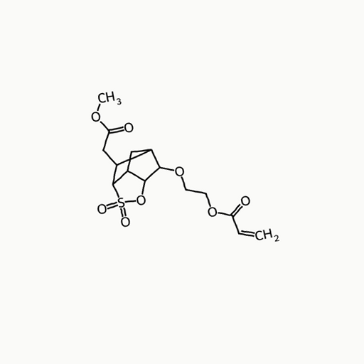 C=CC(=O)OCCOC1C2CC3C1OS(=O)(=O)C3C2CC(=O)OC